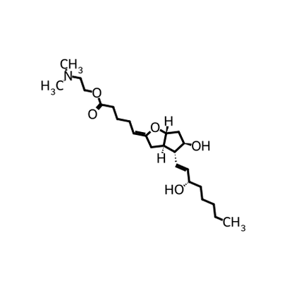 CCCCC[C@H](O)/C=C/[C@@H]1[C@H]2C/C(=C/CCCC(=O)OCCN(C)C)O[C@@H]2C[C@H]1O